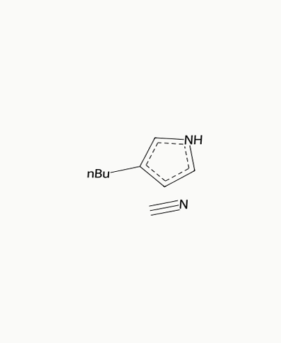 C#N.CCCCc1cc[nH]c1